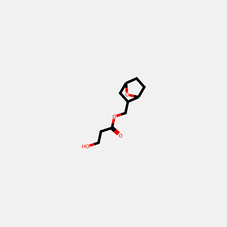 O=C(CCO)OCC1CC2CCC1O2